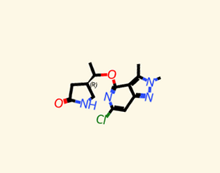 Cc1c2c(OC(C)[C@H]3CNC(=O)C3)nc(Cl)cc2nn1C